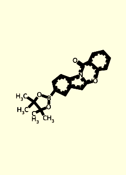 CC1(C)OB(c2ccc3c(c2)cc2oc4ccccc4c(=O)n23)OC1(C)C